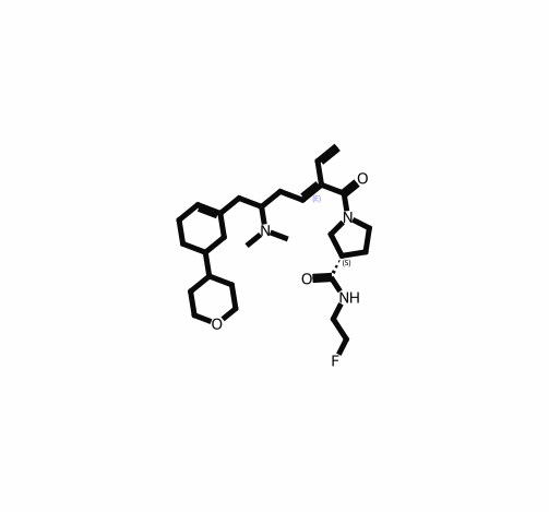 C=C/C(=C\CC(CC1=CCCC(C2CCOCC2)C1)N(C)C)C(=O)N1CC[C@H](C(=O)NCCF)C1